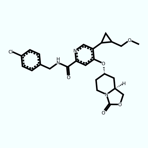 COCC1CC1c1cnc(C(=O)NCc2ccc(Cl)cc2)cc1O[C@H]1CCN2C(=O)OC[C@@H]2C1